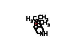 CC(C)(C)CC1C2CNCC1COC2